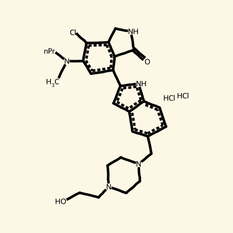 CCCN(C)c1cc(-c2cc3cc(CN4CCN(CCO)CC4)ccc3[nH]2)c2c(c1Cl)CNC2=O.Cl.Cl